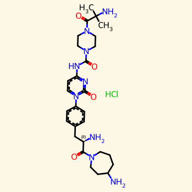 CC(C)(N)C(=O)N1CCN(C(=O)Nc2ccn(-c3ccc(C[C@@H](N)C(=O)N4CCCC(N)CC4)cc3)c(=O)n2)CC1.Cl